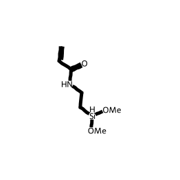 C=CC(=O)NCC[SiH](OC)OC